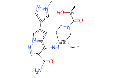 CC[C@H]1CN(C(=O)[C@H](C)O)CC[C@H]1Nc1c(C(N)=O)cnn2cc(-c3cnn(C)c3)cc12